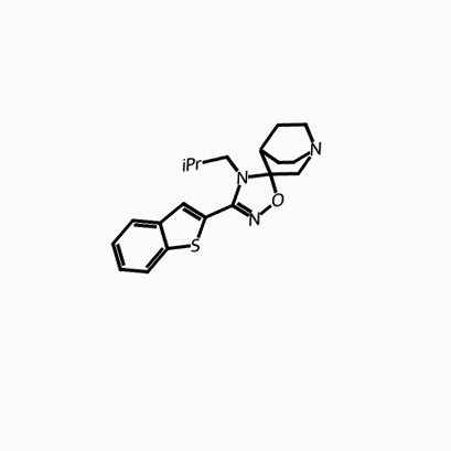 CC(C)CN1C(c2cc3ccccc3s2)=NOC12CN1CCC2CC1